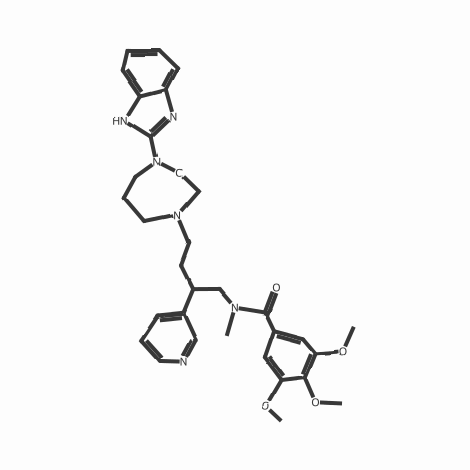 COc1cc(C(=O)N(C)CC(CCN2CCCN(c3nc4ccccc4[nH]3)CC2)c2cccnc2)cc(OC)c1OC